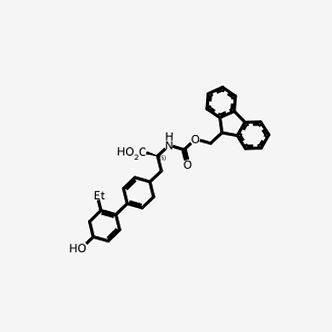 CCC1=C(C2=CCC(C[C@H](NC(=O)OCC3c4ccccc4-c4ccccc43)C(=O)O)C=C2)C=CC(O)C1